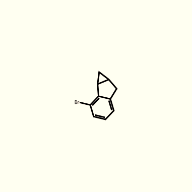 Brc1cccc2c1C1CC1C2